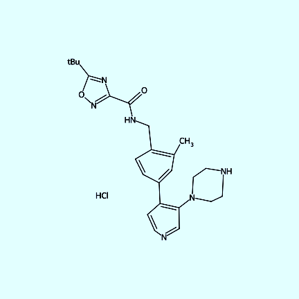 Cc1cc(-c2ccncc2N2CCNCC2)ccc1CNC(=O)c1noc(C(C)(C)C)n1.Cl